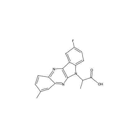 Cc1ccc2nc3c4cc(F)ccc4n(C(C)C(=O)O)c3nc2c1